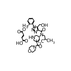 CC(C)CN(C(=O)c1nnn(-c2ccccc2F)c1CO)[C@@H]1CNC[C@H](C(=O)N2CCOCC2)C1.O=C(O)/C=C/C(=O)O